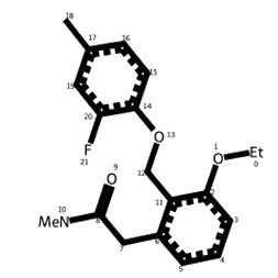 CCOc1cccc(CC(=O)NC)c1COc1ccc(C)cc1F